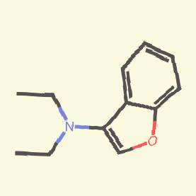 CCN(CC)c1coc2ccccc12